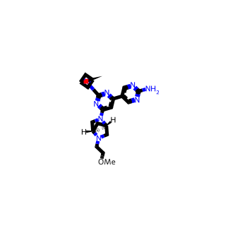 COCCN1C[C@@H]2C[C@H]1CN2c1cc(-c2cnc(N)nc2)nc(N2CC3CC2C3)n1